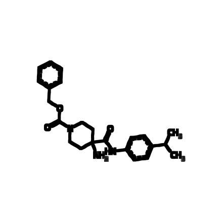 CC(C)c1ccc(NC(=O)C2(N)CCN(C(=O)OCc3ccccc3)CC2)cc1